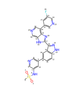 CS(=O)(=O)Nc1cncc(-c2ccc3[nH]nc(-c4nc5c(-c6cncc(F)c6)cncc5[nH]4)c3c2)c1